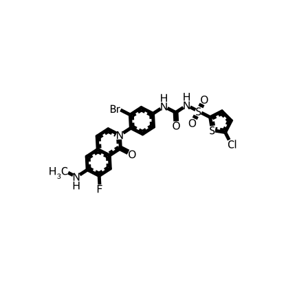 CNc1cc2ccn(-c3ccc(NC(=O)NS(=O)(=O)c4ccc(Cl)s4)cc3Br)c(=O)c2cc1F